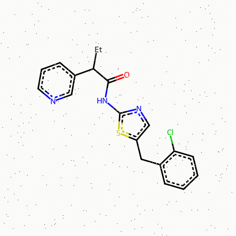 CCC(C(=O)Nc1ncc(Cc2ccccc2Cl)s1)c1cccnc1